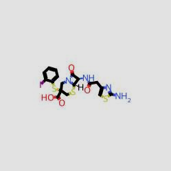 Nc1nc(CC(=O)N[C@@H]2C(=O)N3CC(Sc4ccccc4I)(C(=O)O)CS[C@H]23)cs1